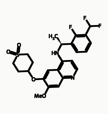 COc1cc2nccc(N[C@H](C)c3cccc(C(F)F)c3F)c2cc1OC1CCS(=O)(=O)CC1